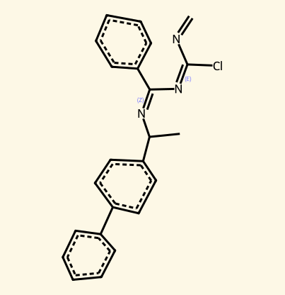 C=N/C(Cl)=N\C(=N/C(C)c1ccc(-c2ccccc2)cc1)c1ccccc1